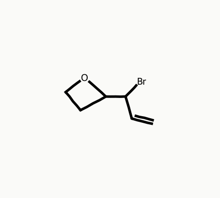 C=CC(Br)C1CCO1